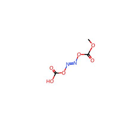 COC(=O)ON=NOC(=O)O